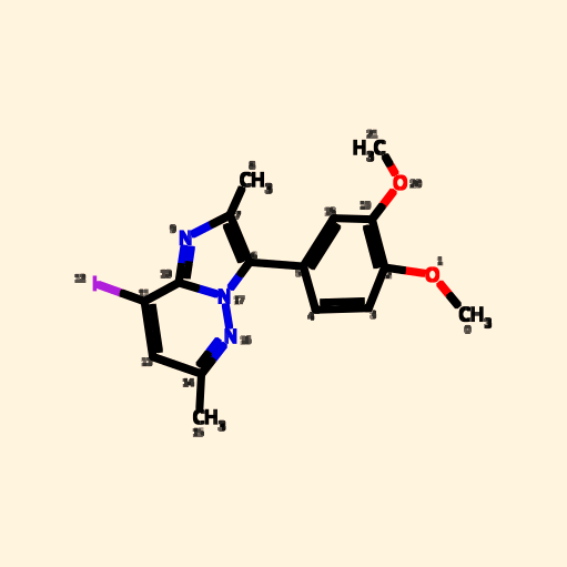 COc1ccc(-c2c(C)nc3c(I)cc(C)nn23)cc1OC